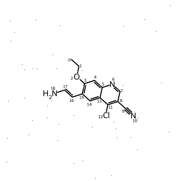 CCOc1cc2ncc(C#N)c(Cl)c2cc1C=CN